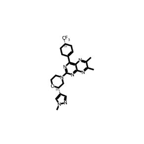 Cc1nc2nc(N3CCO[C@@H](c4cnn(C)c4)C3)nc(C3=CC[C@@H](C(F)(F)F)CC3)c2nc1C